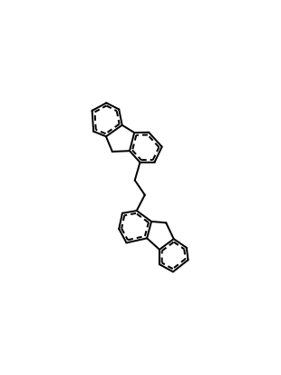 c1ccc2c(c1)Cc1c(CCc3cccc4c3Cc3ccccc3-4)cccc1-2